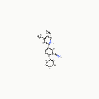 Cc1cnc(-c2ccc(-c3ccccc3)c(C#N)c2)cc1C